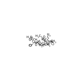 CCCC(=O)OCN(C(=O)[C@@H](NC(=O)[C@H]1CCCCN1C)C(C)CC)[C@H](C[C@@H](O)c1nc(C(=O)N[C@@H](Cc2ccccc2)C[C@H](C)C(=O)OC)cs1)C(C)C